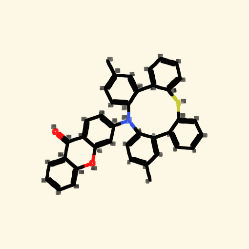 Cc1ccc2c(c1)-c1ccccc1Sc1ccccc1-c1cc(C)ccc1N2c1ccc2c(=O)c3ccccc3oc2c1